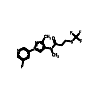 Cc1nn(-c2cncc(F)c2)cc1N(C)C(=O)CCSC(F)(F)F